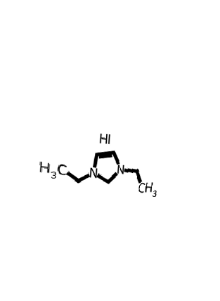 CCN1C=CN(CC)C1.I